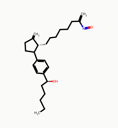 C=C(CCCCCC[C@H]1C(=C)CCC1c1ccc([C@@H](O)CCCCC)cc1)N=O